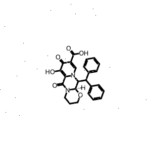 O=C(O)c1cn2c(c(O)c1=O)C(=O)N1CCCO[C@@H]1C2C(c1ccccc1)c1ccccc1